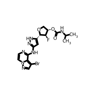 CC(C)NC(=O)O[C@H]1CO[C@@H](c2cc(Nc3nccn4ncc(Br)c34)n[nH]2)[C@@H]1F